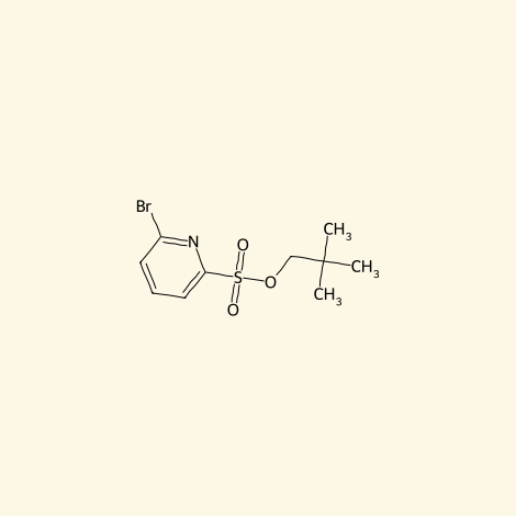 CC(C)(C)COS(=O)(=O)c1cccc(Br)n1